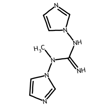 CN(C(=N)Nn1ccnc1)n1ccnc1